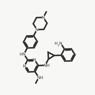 CNc1cnc(Nc2ccc(N3CCN(C)CC3)cc2)nc1NC1CC1c1ccccc1N